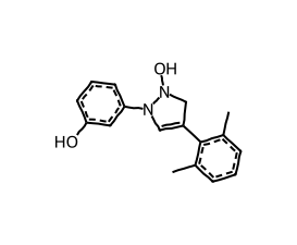 Cc1cccc(C)c1C1=CN(c2cccc(O)c2)N(O)C1